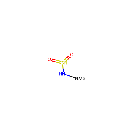 CNN[SH](=O)=O